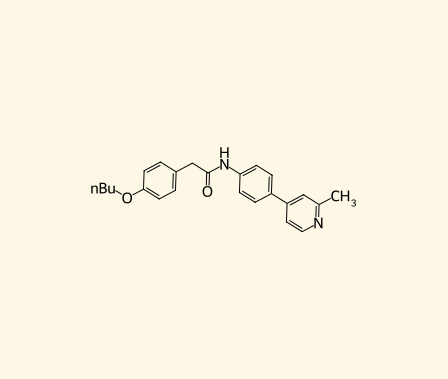 CCCCOc1ccc(CC(=O)Nc2ccc(-c3ccnc(C)c3)cc2)cc1